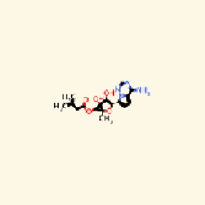 CC(C)CC(=O)OC1[C@@]2(C)O[C@@H](c3ccc4c(N)ncnn34)[C@H](O)[C@@]12O